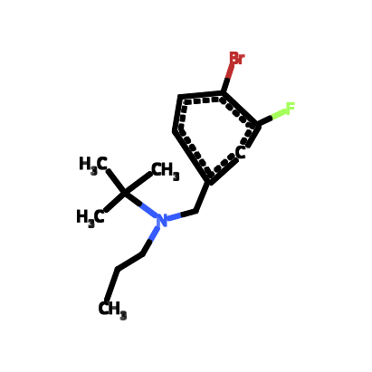 CCCN(Cc1ccc(Br)c(F)c1)C(C)(C)C